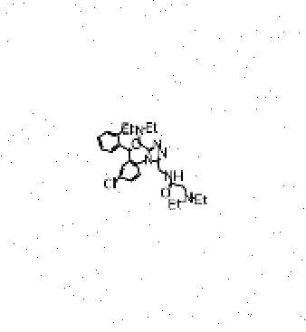 CCN(CC)CC(=O)NCc1nnc(CN(CC)CC)n1-c1ccc(Cl)cc1C(=O)c1ccccc1Cl